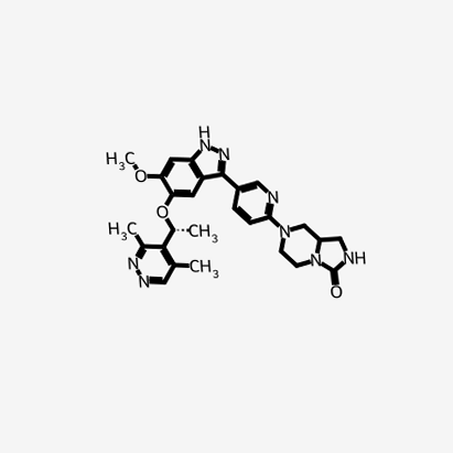 COc1cc2[nH]nc(-c3ccc(N4CCN5C(=O)NCC5C4)nc3)c2cc1O[C@H](C)c1c(C)cnnc1C